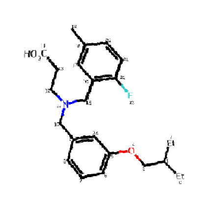 CCC(CC)COc1cccc(CN(CCC(=O)O)Cc2cc(C)ccc2F)c1